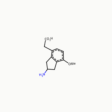 COc1ccc(CC(=O)O)c2c1CC(N)C2